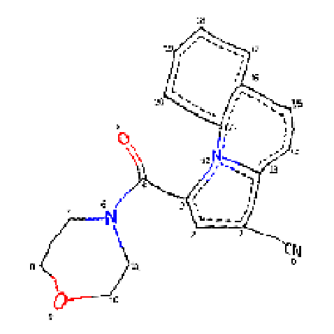 N#Cc1cc(C(=O)N2CCOCC2)n2c1ccc1ccccc12